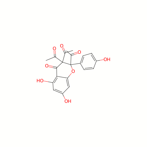 CC(=O)C1(C(C)=O)C(=O)c2c(O)cc(O)cc2OC1(C(C)=O)c1ccc(O)cc1